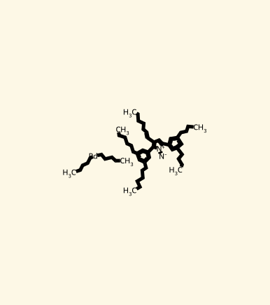 CCCCCC=CC1=C(c2cc(CCCCCC)cc(CCCCCC)c2)[N+](=[N-])C(c2cc(CCCC)cc(CCCC)c2)=C1.CCCC[CH2][Pd][CH2]CCCC